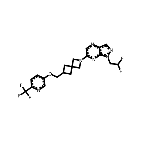 FC(F)Cn1ncc2ncc(N3CC4(CC(COc5ccc(C(F)(F)F)nc5)C4)C3)nc21